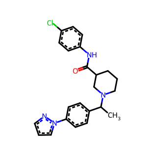 CC(c1ccc(-n2cccn2)cc1)N1CCCC(C(=O)Nc2ccc(Cl)cc2)C1